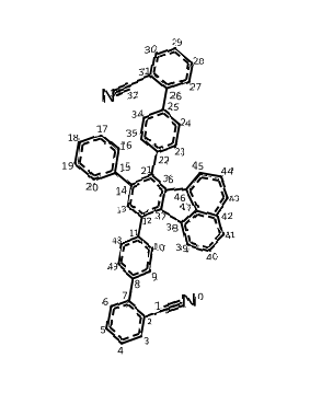 N#Cc1ccccc1-c1ccc(-c2cc(-c3ccccc3)c(-c3ccc(-c4ccccc4C#N)cc3)c3c2-c2cccc4cccc-3c24)cc1